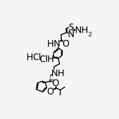 CC(C)C(=O)O[C@@H](CNCCc1ccc(NC(=O)Cc2csc(N)n2)cc1)c1ccccc1.Cl.Cl